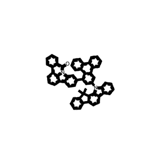 CC1(C)c2ccccc2-c2ccc3c4ccccc4n(-c4cc(-c5ccc6c7cccc8c9ccccc9c(=O)n(c6c5)c87)c5c6ccccc6c6ccccc6c5c4)c3c21